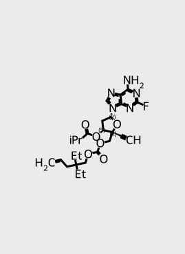 C#C[C@]1(COC(=O)OCC(CC)(CC)CC=C)O[C@@H](n2cnc3c(N)nc(F)nc32)C[C@@H]1OC(=O)C(C)C